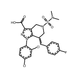 CN(C)S(=O)(=O)N1CC(=Cc2ccc(F)cc2)c2c(c(C(=O)O)nn2-c2ccc(Cl)cc2Cl)C1